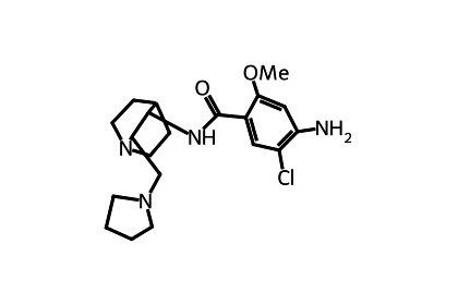 COc1cc(N)c(Cl)cc1C(=O)NC1C2CCN(CC2)C1CN1CCCC1